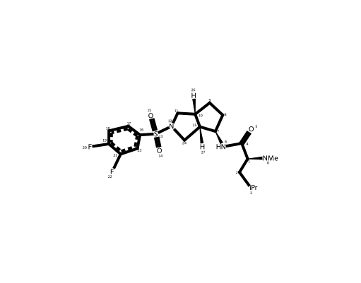 CN[C@@H](CC(C)C)C(=O)N[C@@H]1CC[C@H]2CN(S(=O)(=O)c3ccc(F)c(F)c3)C[C@H]21